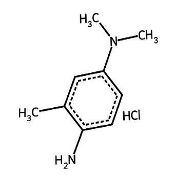 Cc1cc(N(C)C)ccc1N.Cl